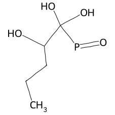 CCCC(O)C(O)(O)P=O